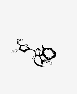 Cc1ccccc1C12N=CN([C@H]3C[C@H](O)[C@@H](CO)O3)C1=NCN=C2N